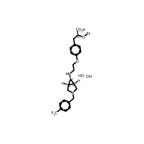 CCO[C@@H](Cc1ccc(OCCN[C@H]2[C@@H]3CN(Cc4ccc(C(F)(F)F)cc4)C[C@@H]32)cc1)C(=O)O.Cl.Cl